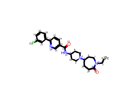 CC(C)CN1CCC(N2CCC(NC(=O)c3ccc(-c4cccc(F)c4)nc3)CC2)CCC1=O